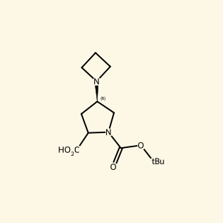 CC(C)(C)OC(=O)N1C[C@H](N2CCC2)CC1C(=O)O